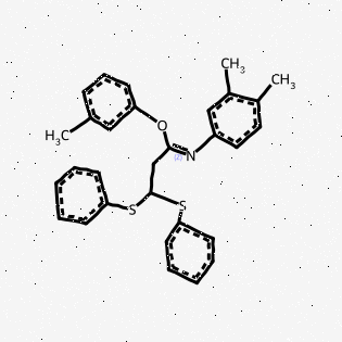 Cc1cccc(O/C(CC(Sc2ccccc2)Sc2ccccc2)=N\c2ccc(C)c(C)c2)c1